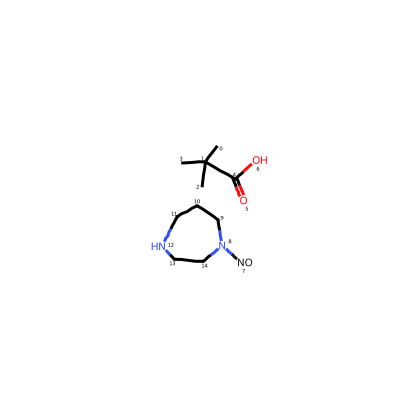 CC(C)(C)C(=O)O.O=NN1CCCNCC1